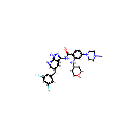 CN1CCN(c2ccc(C(=O)Nc3n[nH]c4ncc(Cc5cc(F)cc(F)c5)cc34)c(NC3CCOCC3)c2)CC1